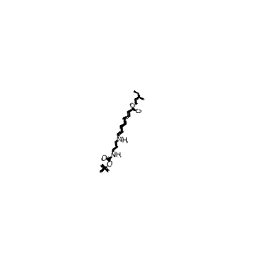 CCC(C)CCOC(=O)CCCCCCCNCCCNC(=O)OC(C)(C)C